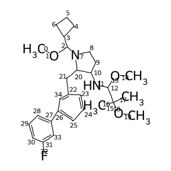 COC(C1CCC1)N1CCC(NC(OC)C(C)(C)OC)C1Cc1cccc(-c2cccc(F)c2)c1